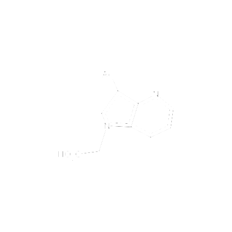 CC(=O)c1cn(CC(=O)O)c2cccnc12